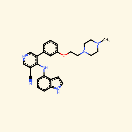 CN1CCN(CCOc2cccc(-c3cncc(C#N)c3Nc3cccc4[nH]ccc34)c2)CC1